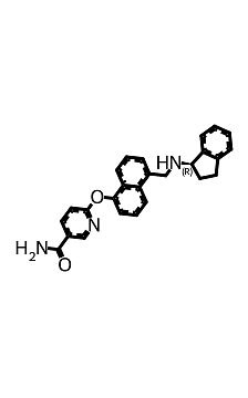 NC(=O)c1ccc(Oc2cccc3c(CN[C@@H]4CCc5ccccc54)cccc23)nc1